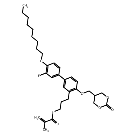 C=C(C)C(=O)OCCCc1cc(-c2ccc(OCCCCCCCCC)c(F)c2)ccc1OCC1COC(=O)OC1